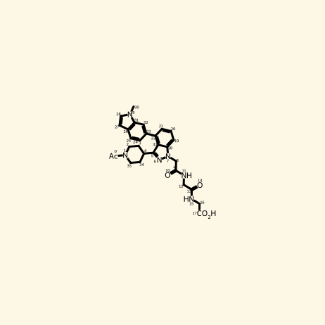 CC(=O)N1CCC(c2nn(CC(=O)NCC(=O)NCC(=O)O)c3cccc(-c4ccc5ccn(C)c5c4)c23)CC1